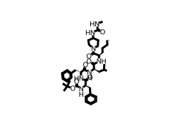 [CH2]CCC[C@@H](NC(=O)[C@@H](CC(C)C)NC(=O)[C@@H](Cc1ccccc1)NC(=O)[C@@H](Cc1ccccc1)NC(=O)OC(C)(C)C)C(=O)N1CCC(NC(=O)NC)CC1